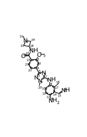 COc1cc(-c2nc(Nc3ccc(N)c(C=N)c3C)n(C)n2)ccc1C(=O)NC1CN(C)C1